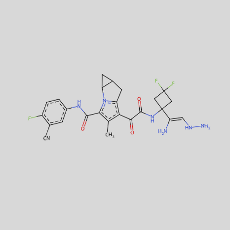 Cc1c(C(=O)C(=O)NC2(/C(N)=C/NN)CC(F)(F)C2)c2n(c1C(=O)Nc1ccc(F)c(C#N)c1)C1CC1C2